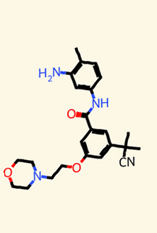 Cc1ccc(NC(=O)c2cc(OCCN3CCOCC3)cc(C(C)(C)C#N)c2)cc1N